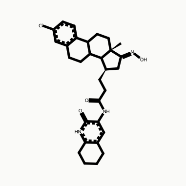 C[C@]12CCC3c4ccc(Cl)cc4CCC3C1[C@H](CCC(=O)Nc1cc3c([nH]c1=O)CCCC3)C/C2=N\O